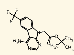 CC(C)(C)OC(=O)Cn1c2ccc(C(F)(F)F)cc2c2c(N)ncnc21